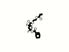 C=CC(=O)OCCOC(=O)C(F)(F)CC(F)(F)OC(=O)C1CC2CCC1C2